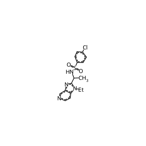 CCn1c(C(C)NS(=O)(=O)c2ccc(Cl)cc2)nc2cnccc21